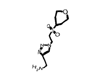 NCc1cn(CCS(=O)(=O)C2CCOCC2)nn1